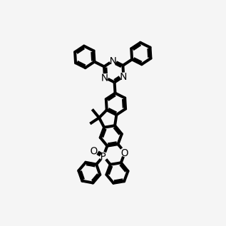 CC1(C)c2cc(-c3nc(-c4ccccc4)nc(-c4ccccc4)n3)ccc2-c2cc3c(cc21)P(=O)(c1ccccc1)c1ccccc1O3